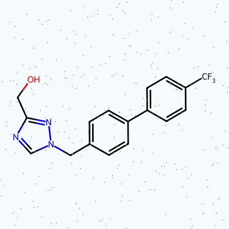 OCc1ncn(Cc2ccc(-c3ccc(C(F)(F)F)cc3)cc2)n1